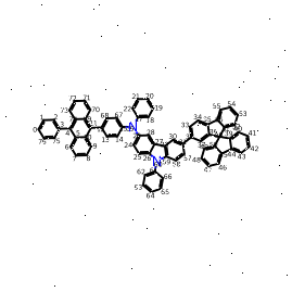 c1ccc(-c2c3ccccc3c(-c3ccc(N(c4ccccc4)c4ccc5c(c4)c4cc(-c6ccc7c(c6)C6(c8ccccc8-c8ccccc86)c6ccccc6-7)ccc4n5-c4ccccc4)cc3)c3ccccc23)cc1